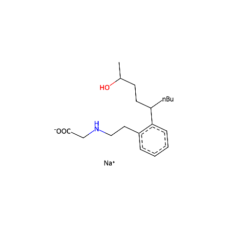 CCCCC(CCC(C)O)c1ccccc1CCNCC(=O)[O-].[Na+]